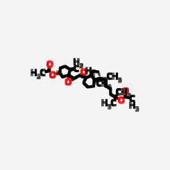 C=C1CC[C@H](OC(C)=O)CC12OC2C1OC12CCC[C@]1(C)[C@@H]([C@H](C)CCCC(C)(C)OC(C)=O)CC[C@@H]21